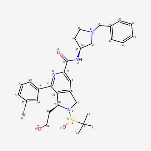 CC(C)(C)[S@+]([O-])N1Cc2cc(C(=O)N[C@H]3CCN(Cc4ccccc4)C3)nc(-c3cccc(Br)c3)c2[C@@H]1CCO